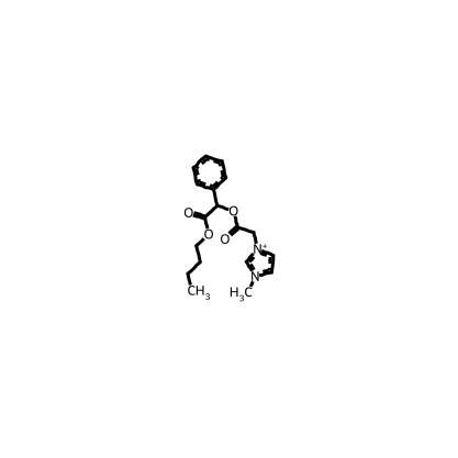 CCCCOC(=O)C(OC(=O)C[n+]1ccn(C)c1)c1ccccc1